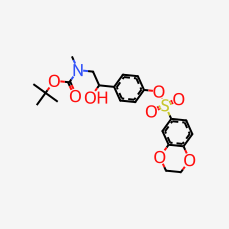 CN(CC(O)c1ccc(OS(=O)(=O)c2ccc3c(c2)OCCO3)cc1)C(=O)OC(C)(C)C